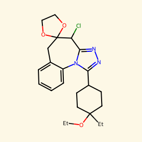 CCOC1(CC)CCC(c2nnc3n2-c2ccccc2CC2(OCCO2)C3Cl)CC1